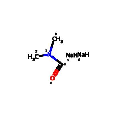 CN(C)C=O.[NaH].[NaH]